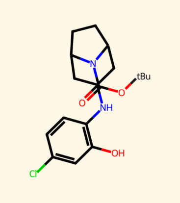 CC(C)(C)OC(=O)N1C2CCC1CC(Nc1ccc(Cl)cc1O)C2